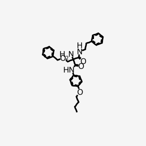 CCCCOc1ccc(NC(=O)C(N)(COCc2ccccc2)C(=O)NCCc2ccccc2)cc1